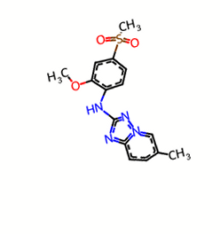 COc1cc(S(C)(=O)=O)ccc1Nc1nc2ccc(C)cn2n1